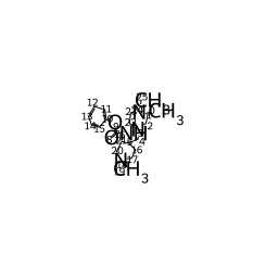 CC1CN(CC2(NC(=O)Oc3ccccc3)CCN(C)CC2)CCN1C